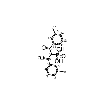 Cc1cccc(C(=O)C(C(=O)c2cccc(C)c2)P(=O)(O)O)c1